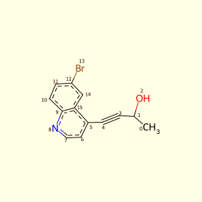 CC(O)C#Cc1ccnc2ccc(Br)cc12